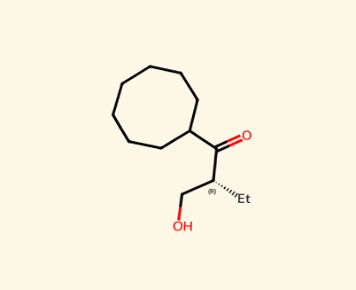 CC[C@H](CO)C(=O)C1CCCCCCC1